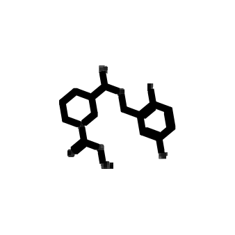 CCC(OCc1cc(Br)ccc1F)C1CCCN(C(=O)OC(C)(C)C)C1